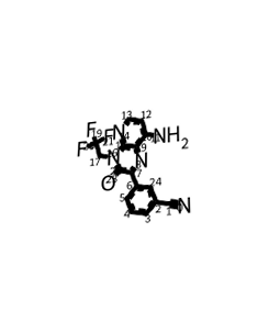 N#Cc1cccc(-c2nc3c(N)ccnc3n(CC(F)(F)F)c2=O)c1